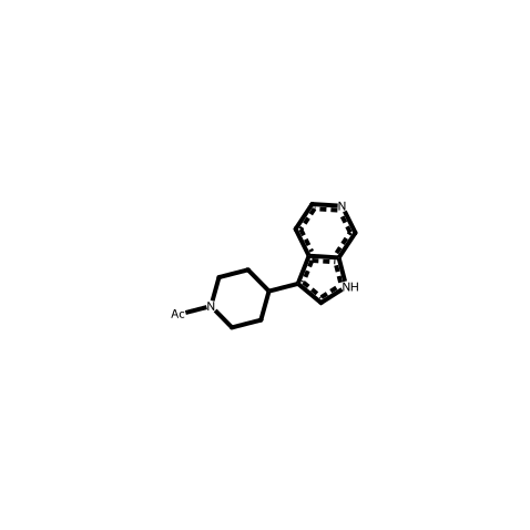 CC(=O)N1CCC(c2c[nH]c3cnccc23)CC1